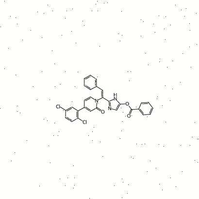 O=C(Oc1cnc(C(=Cc2ccccc2)n2ccc(-c3cc(Cl)ccc3Cl)cc2=O)[nH]1)c1ccccc1